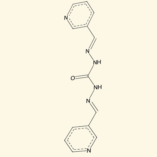 O=C(N/N=C/c1cccnc1)N/N=C/c1cccnc1